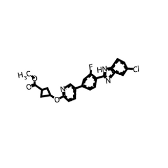 COC(=O)C1CC(Oc2ccc(-c3ccc(-c4nc5cc(Cl)ccc5[nH]4)c(F)c3)cn2)C1